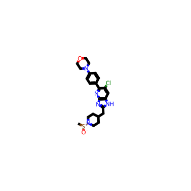 C[S+]([O-])N1CCC(Cc2nc3nc(-c4ccc(N5CCOCC5)cc4)c(Cl)cc3[nH]2)CC1